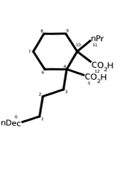 CCCCCCCCCCCCCC1(C(=O)O)CCCCC1(CCC)C(=O)O